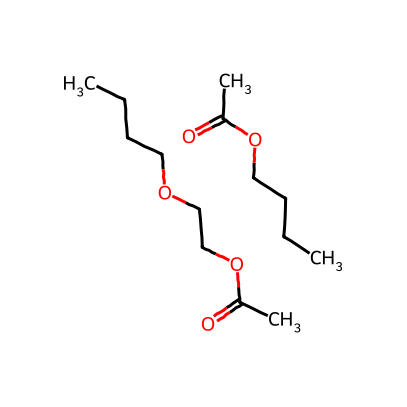 CCCCOC(C)=O.CCCCOCCOC(C)=O